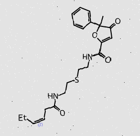 CC/C=C\CC(=O)NCCSCCNC(=O)C1=CC(=O)C(C)(c2ccccc2)O1